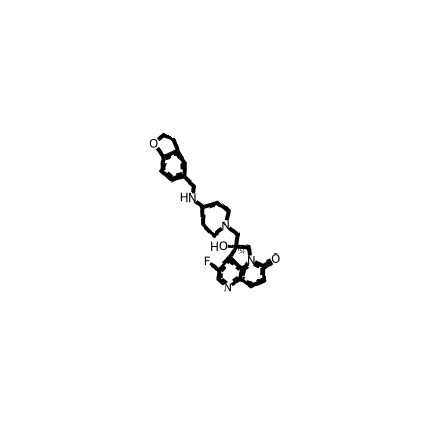 O=c1ccc2ncc(F)c3c2n1C[C@@]3(O)CN1CCC(NCc2ccc3c(c2)CCO3)CC1